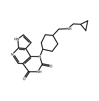 O=c1[nH]c(=O)n(C2CCC(CNCC3CC3)CC2)c2c1cnc1[nH]ccc12